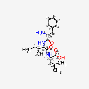 CC[C@H](C)[C@H](NC(=O)[C@@H](N)Cc1ccccc1)C(=O)N[C@@H](CC(C)C)C(=O)O